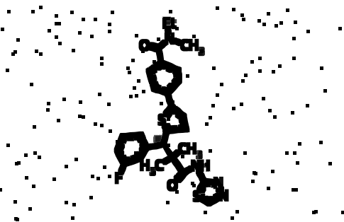 CCN(C)C(=O)c1ccc(-c2ccc([C@H](c3cccc(F)c3)C(C)(C)C(=O)Nc3nncs3)s2)cc1